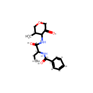 CC1COCC(=O)C1NC(=O)C(CC(C)(C)C)NC(=O)c1ccccc1